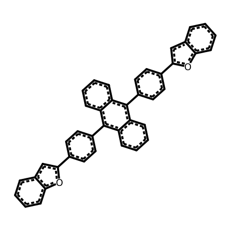 c1ccc2oc(-c3ccc(-c4c5ccccc5c(-c5ccc(-c6cc7ccccc7o6)cc5)c5ccccc45)cc3)cc2c1